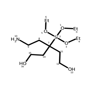 CCO[Si](OCC)(OCC)C(CCN)(CCO)CCO